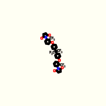 O=C1C=CC(=O)N1c1cccc(Oc2ccc(C(c3ccc(Oc4cccc(N5C(=O)C=CC5=O)c4C(F)(F)F)cc3)(C(F)(F)F)C(F)(F)F)cc2)c1C(F)(F)F